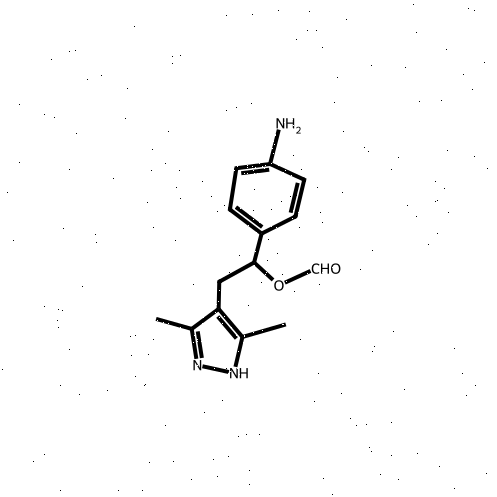 Cc1n[nH]c(C)c1CC(OC=O)c1ccc(N)cc1